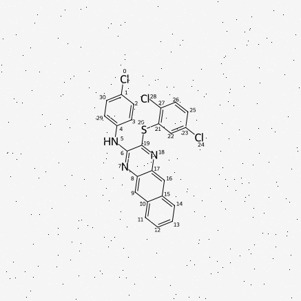 Clc1ccc(Nc2nc3cc4ccccc4cc3nc2Sc2cc(Cl)ccc2Cl)cc1